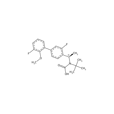 COc1c(F)cccc1-c1ccc([C@@H](C)N(C(=O)O)C(C)(C)C)c(F)c1